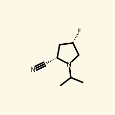 CC(C)N1C[C@@H](F)C[C@H]1C#N